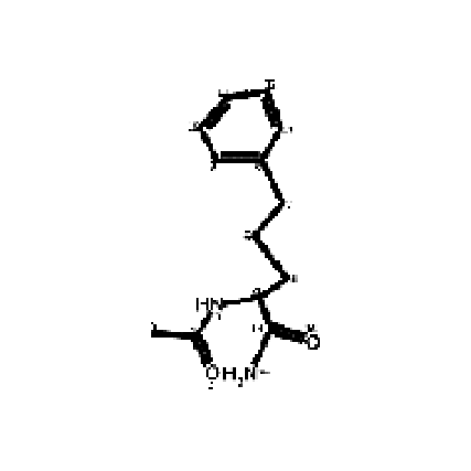 CC(=O)NC(CCCc1ccccc1)C(N)=O